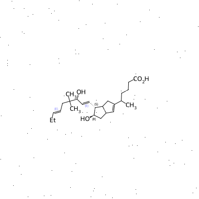 CC/C=C/CC(C)(C)C(O)/C=C/[C@@H]1C2CC(C(C)CCCC(=O)O)=CC2C[C@H]1O